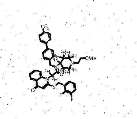 [2H]C([2H])(C(=O)N(Cc1ccc(-c2ccc(C(F)(F)F)cc2)cc1)C1([2H])C([2H])([2H])C([2H])([2H])N(CCOC)C([2H])([2H])C1([2H])[2H])n1c(SCc2cccc(F)c2F)cc(=O)c2ccccc21